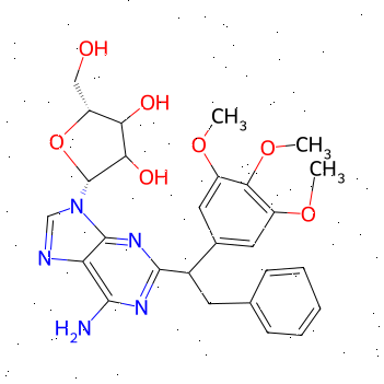 COc1cc(C(Cc2ccccc2)c2nc(N)c3ncn([C@@H]4O[C@H](CO)C(O)C4O)c3n2)cc(OC)c1OC